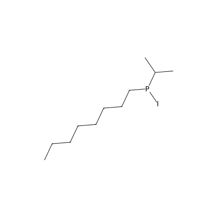 CCCCCCCCP(I)C(C)C